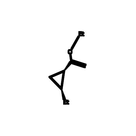 C=C(OCC)[C@H]1C[C@H]1CC